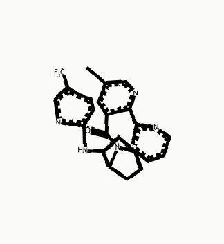 Cc1cnc(-c2ncccn2)c(C(=O)N2C3CCC2C(Nc2ccc(C(F)(F)F)cn2)C3)c1